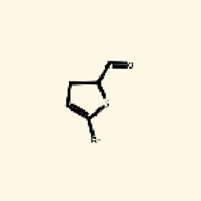 O=CC1CC=C(Br)S1